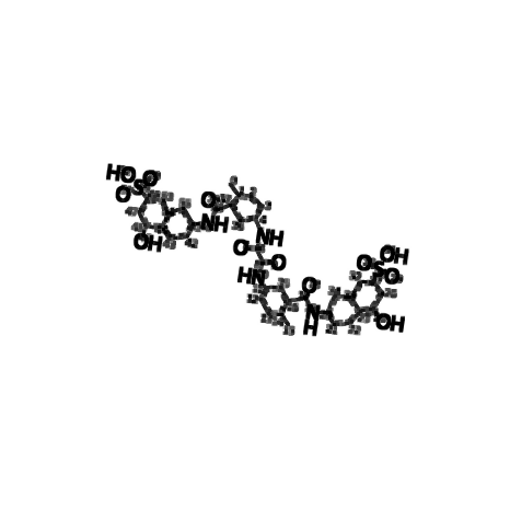 Cc1ccc(NC(=O)C(=O)Nc2ccc(C)c(C(=O)Nc3ccc4c(O)cc(S(=O)(=O)O)cc4c3)c2)cc1C(=O)Nc1ccc2c(O)cc(S(=O)(=O)O)cc2c1